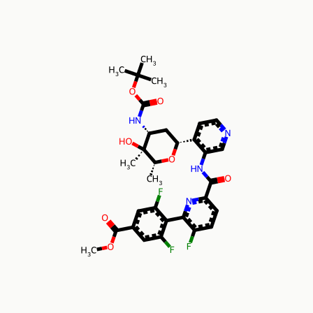 COC(=O)c1cc(F)c(-c2nc(C(=O)Nc3cnccc3[C@H]3C[C@@H](NC(=O)OC(C)(C)C)[C@](C)(O)[C@@H](C)O3)ccc2F)c(F)c1